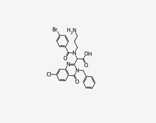 NCCCN(C(=O)c1ccc(Br)cc1)C(C(=O)O)c1nc2cc(Cl)ccc2c(=O)n1Cc1ccccc1